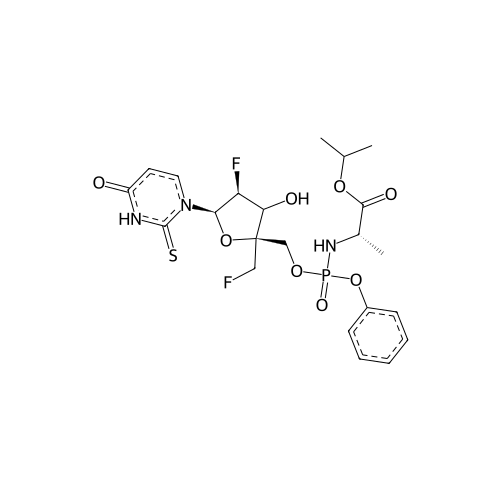 CC(C)OC(=O)[C@H](C)NP(=O)(OC[C@@]1(CF)O[C@@H](n2ccc(=O)[nH]c2=S)[C@@H](F)C1O)Oc1ccccc1